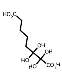 O=C(O)CCCCC(O)(O)C(O)(O)C(=O)O